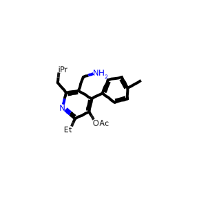 CCc1nc(CC(C)C)c(CN)c(-c2ccc(C)cc2)c1OC(C)=O